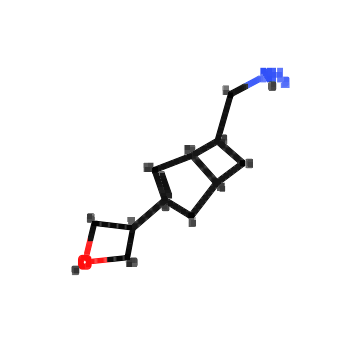 NCC1CC2CC(C3COC3)=CC12